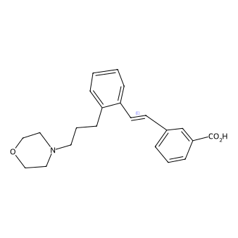 O=C(O)c1cccc(/C=C/c2ccccc2CCCN2CCOCC2)c1